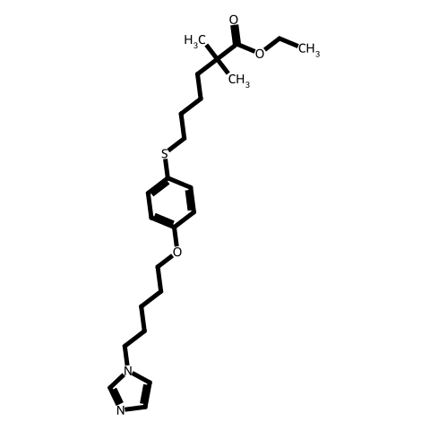 CCOC(=O)C(C)(C)CCCCSc1ccc(OCCCCCn2ccnc2)cc1